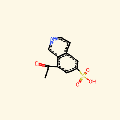 CC(=O)c1cc(S(=O)(=O)O)cc2ccncc12